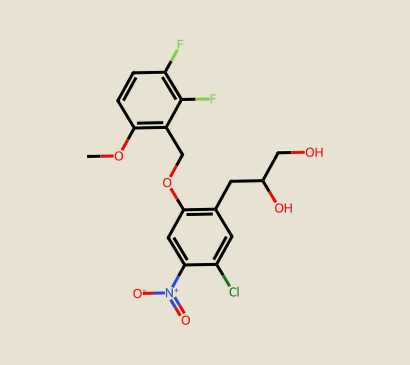 COc1ccc(F)c(F)c1COc1cc([N+](=O)[O-])c(Cl)cc1CC(O)CO